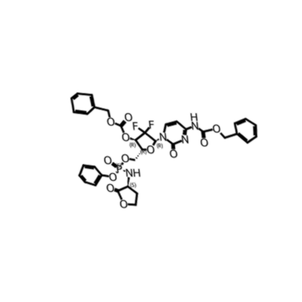 O=C(Nc1ccn([C@@H]2O[C@H](CO[P@@](=O)(N[C@H]3CCOC3=O)Oc3ccccc3)[C@@H](OC(=O)OCc3ccccc3)C2(F)F)c(=O)n1)OCc1ccccc1